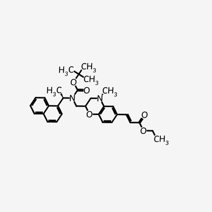 CCOC(=O)/C=C/c1ccc2c(c1)N(C)CC(CN(C(=O)OC(C)(C)C)[C@H](C)c1cccc3ccccc13)O2